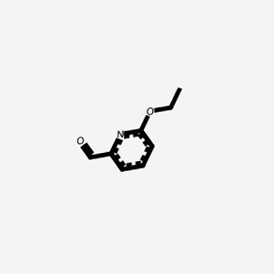 CCOc1cccc(C=O)n1